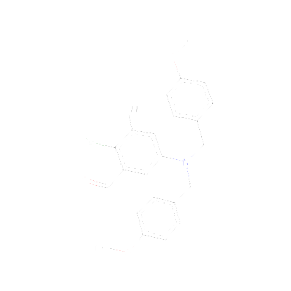 COc1ccc(CN(Cc2ccc(OC)cc2)c2cc(C)c(Br)c(C=O)c2)cc1